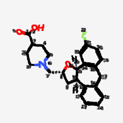 O=C(O)C1CCN(C[C@H]2C[C@@H]3c4ccccc4Cc4ccc(F)cc4[C@@H]3O2)CC1